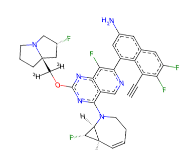 [2H]C([2H])(Oc1nc(N2CCC=C[C@H]3[C@H](F)[C@H]32)c2cnc(-c3cc(N)cc4cc(F)c(F)c(C#C)c34)c(F)c2n1)[C@@]12CCCN1C[C@H](F)C2